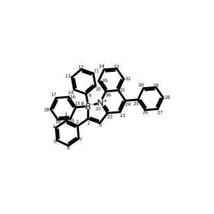 C1=C(c2ccccc2)[B-](c2ccccc2)(c2ccccc2)[n+]2c1cc(-c1ccccc1)c1ccccc12